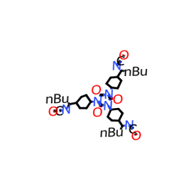 CCCCC(N=C=O)C1CCC(n2c(=O)n(C3CCC(C(CCCC)N=C=O)CC3)c(=O)n(C3CCC(C(CCCC)N=C=O)CC3)c2=O)CC1